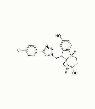 C=C1C[C@]23C[C@@]1(O)CC[C@H]2c1ccc(O)c(C)c1[C@@H]3Cn1cc(-c2ccc(Cl)cc2)nn1